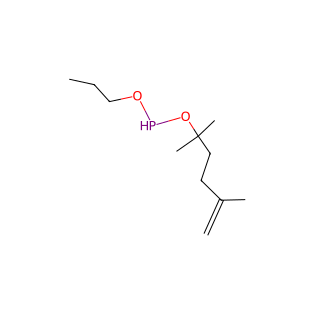 C=C(C)CCC(C)(C)OPOCCC